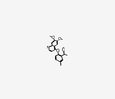 COc1cc2nccc(Oc3ccc(C)cc3C(C)=O)c2cc1OC